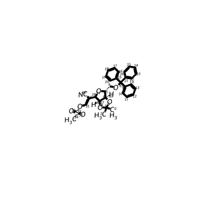 CC1(C)O[C@@H]2[C@@H](COC(c3ccccc3)(c3ccccc3)c3ccccc3)OC(C(C#N)=COS(C)(=O)=O)[C@@H]2O1